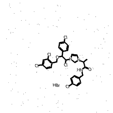 Br.CC(C(=O)NCc1ccc(Cl)cc1)N1C=CN(C(Cl)C(OCc2ccc(Cl)cc2Cl)c2ccc(Cl)cc2)C1